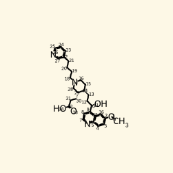 COc1ccc2nccc([C@H](O)CC[C@@H]3CCN(CCCCc4cccnc4)C[C@H]3CCC(=O)O)c2c1